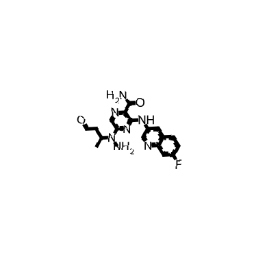 CC(CC=O)N(N)c1cnc(C(N)=O)c(Nc2cnc3cc(F)ccc3c2)n1